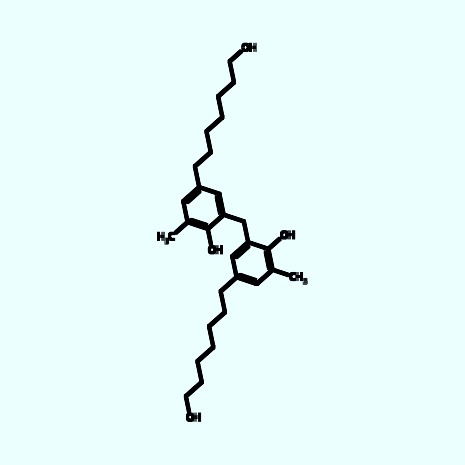 Cc1cc(CCCCCCCO)cc(Cc2cc(CCCCCCCO)cc(C)c2O)c1O